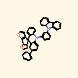 c1cc(N2c3ccccc3C3(c4ccoc4-c4occc43)c3c2ccc2c3sc3ccccc32)cc(-n2c3ccccc3c3ccccc32)c1